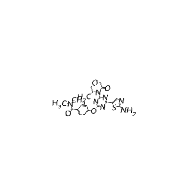 CC1COCC(=O)N1c1nc(Oc2ccc(C(=O)N(C)C)cc2)nc(-c2cnc(N)s2)n1